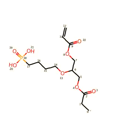 [CH2]CC(=O)OCC(COC(=O)C=C)OCCCCP(=O)(O)O